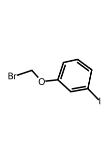 BrCOc1cccc(I)c1